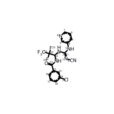 N#C/N=C(\Nc1cccnc1)NC(NC(=O)c1cccc(Cl)c1)C(F)(F)C(F)(F)F